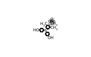 CS(=O)(=O)[O-].Cc1cc([S+](c2ccc(O)cc2)c2ccc(O)cc2)cc(C)c1O